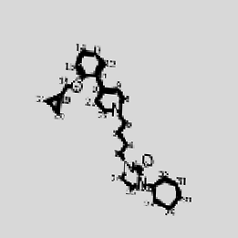 O=C1N(CCCCN2CC=C(c3ccccc3OCC3CC3)CC2)CCN1C1CCCCC1